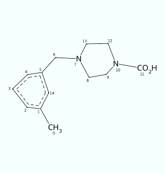 Cc1cccc(CN2CCN(C(=O)O)CC2)c1